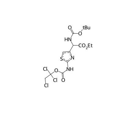 CCOC(=O)C(NC(=O)OC(C)(C)C)c1csc(NC(=O)OC(Cl)(Cl)CCl)n1